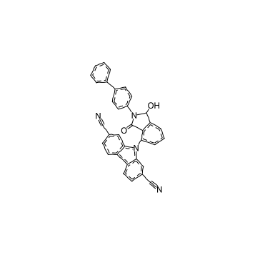 N#Cc1ccc2c3ccc(C#N)cc3n(-c3cccc4c3C(=O)N(c3ccc(-c5ccccc5)cc3)C4O)c2c1